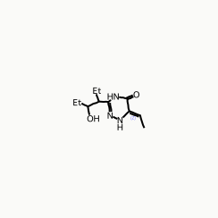 C/C=C1\NN=C(C(CC)C(O)CC)NC1=O